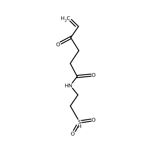 C=CC(=O)CCC(=O)NCC[SH](=O)=O